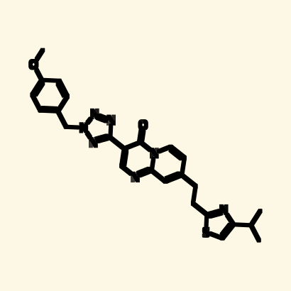 COc1ccc(Cn2nnc(-c3cnc4cc(CCc5nc(C(C)C)cs5)ccn4c3=O)n2)cc1